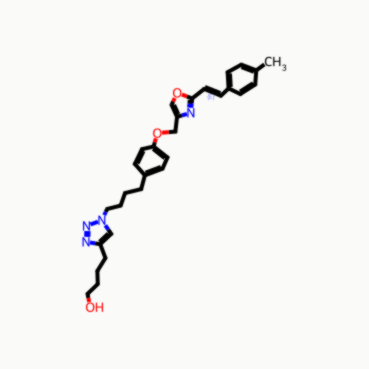 Cc1ccc(/C=C/c2nc(COc3ccc(CCCCn4cc(CCCCO)nn4)cc3)co2)cc1